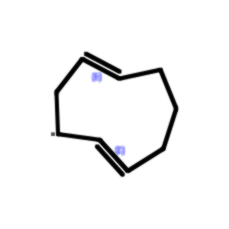 [CH]1/C=C/CCC/C=C/C1